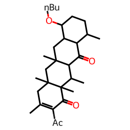 CCCCOC1CCC(C)C2C(=O)C3C(C)C4(C)C(=O)C(C(C)=O)=C(C)CC4(C)CC3(C)CC12